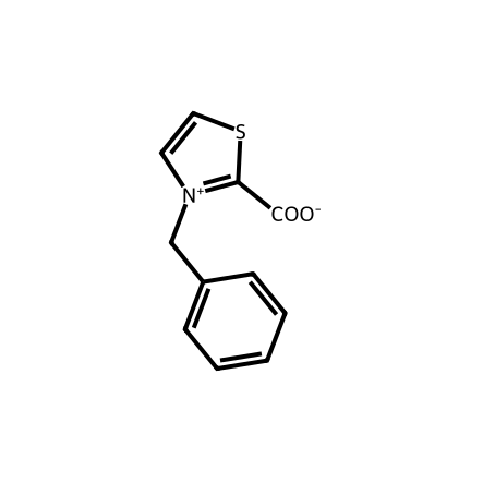 O=C([O-])c1scc[n+]1Cc1ccccc1